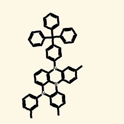 Cc1cccc(N2c3cc(C)ccc3B3c4ccc(C)cc4N(c4ccc(C(c5ccccc5)(c5ccccc5)c5ccccc5)cc4)c4cccc2c43)c1